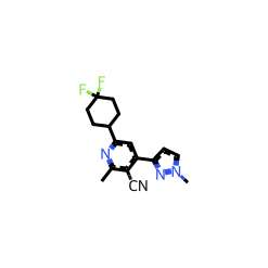 Cc1nc(C2CCC(F)(F)CC2)cc(-c2ccn(C)n2)c1C#N